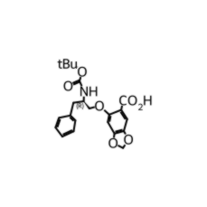 CC(C)(C)OC(=O)N[C@@H](COc1cc2c(cc1C(=O)O)OCO2)Cc1ccccc1